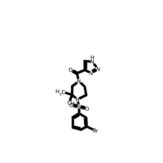 CC1(C)CN(C(=O)c2c[nH]nn2)CCN1S(=O)(=O)c1cccc(Br)c1